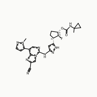 Cn1nccc1-c1cnc(Nc2cc([C@@H]3CC[C@H](OC(=O)NC4(C)CC4)[C@H]3F)[nH]n2)n2cc(C#N)nc12